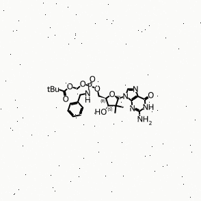 CC(C)(C)C(=O)OCOP(=O)(NCc1ccccc1)OC[C@H]1O[C@@H](n2cnc3c(=O)[nH]c(N)nc32)C(C)(C)[C@@H]1O